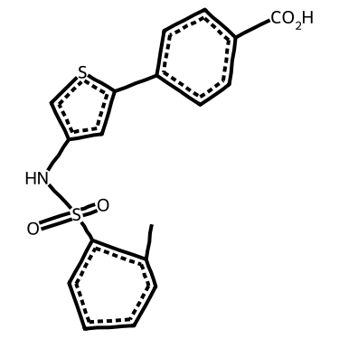 Cc1ccccc1S(=O)(=O)Nc1csc(-c2ccc(C(=O)O)cc2)c1